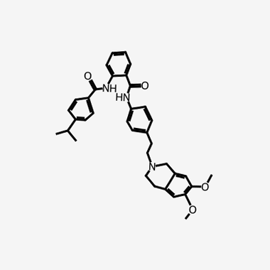 COc1cc2c(cc1OC)CN(CCc1ccc(NC(=O)c3ccccc3NC(=O)c3ccc(C(C)C)cc3)cc1)CC2